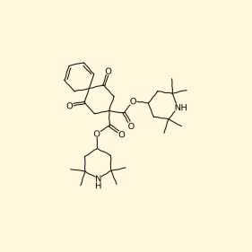 CC1(C)CC(OC(=O)C2(C(=O)OC3CC(C)(C)NC(C)(C)C3)CC(=O)C3(C=CC=CC3)C(=O)C2)CC(C)(C)N1